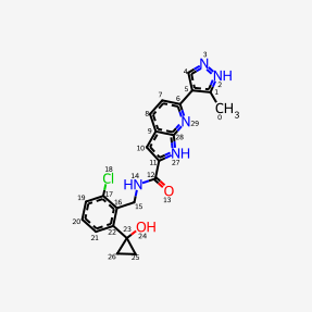 Cc1[nH]ncc1-c1ccc2cc(C(=O)NCc3c(Cl)cccc3C3(O)CC3)[nH]c2n1